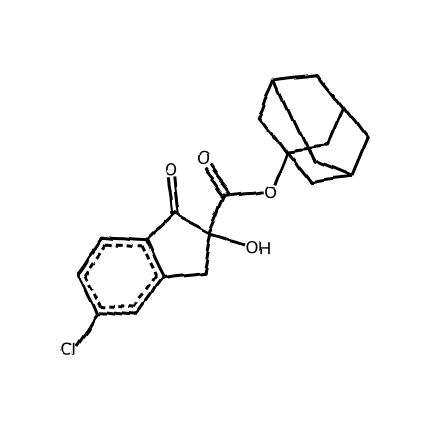 O=C(OC12CC3CC(CC(C3)C1)C2)C1(O)Cc2cc(Cl)ccc2C1=O